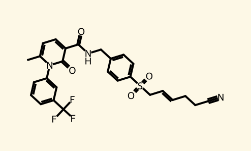 Cc1ccc(C(=O)NCc2ccc(S(=O)(=O)CC=CCCC#N)cc2)c(=O)n1-c1cccc(C(F)(F)F)c1